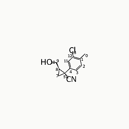 Cc1ccc([C@]2(C#N)C[C@H]2CO)cc1Cl